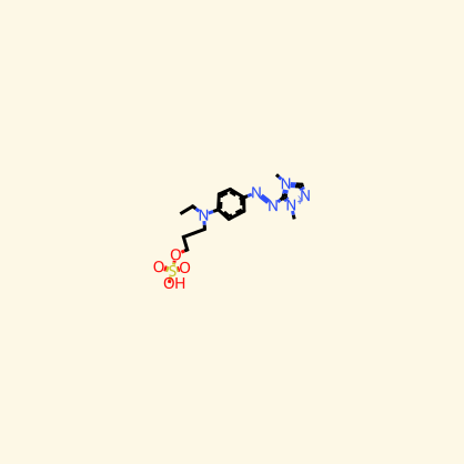 CCN(CCCOS(=O)(=O)O)c1ccc(N=Nc2n(C)cn[n+]2C)cc1